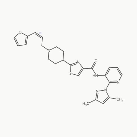 Cc1cc(C)n(-c2ncccc2NC(=O)c2csc(C3CCN(C/C=C\c4ccco4)CC3)n2)n1